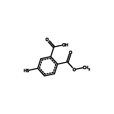 COC(=O)c1ccc(S)cc1C(=O)O